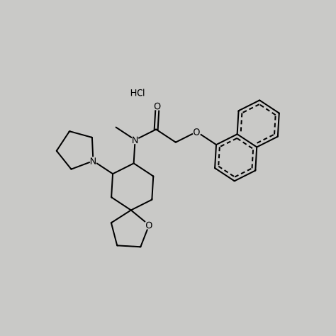 CN(C(=O)COc1cccc2ccccc12)C1CCC2(CCCO2)CC1N1CCCC1.Cl